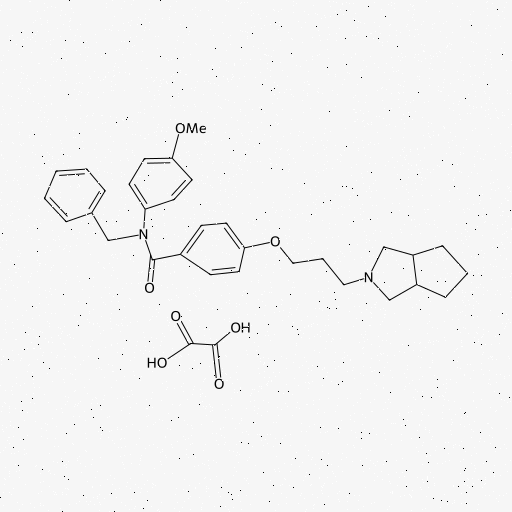 COc1ccc(N(Cc2ccccc2)C(=O)c2ccc(OCCCN3CC4CCCC4C3)cc2)cc1.O=C(O)C(=O)O